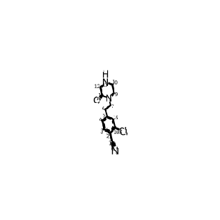 N#Cc1ccc(CCN2CCNCC2=O)cc1Cl